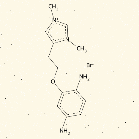 Cn1c[n+](C)cc1CCOc1cc(N)ccc1N.[Br-]